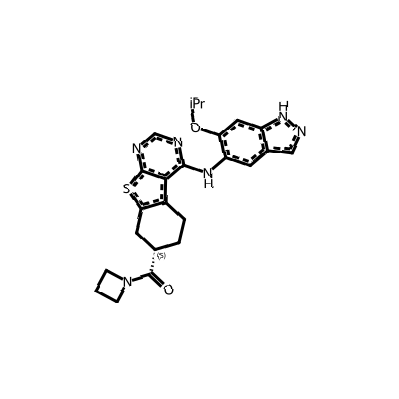 CC(C)Oc1cc2[nH]ncc2cc1Nc1ncnc2sc3c(c12)CC[C@H](C(=O)N1CCC1)C3